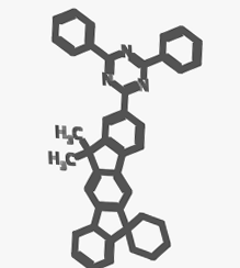 CC1(C)c2cc(-c3nc(-c4ccccc4)nc(-c4ccccc4)n3)ccc2-c2cc3c(cc21)C1CC=CC=C1C31CCCCC1